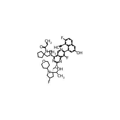 C#Cc1c(F)ccc2cc(O)cc(-c3ncc4c(NCC5(N(C)C(=O)C=C)CCCC5)nc(OC[C@]5([C@H](C)O)C[C@@H](F)CN5C5CCOCC5)nc4c3F)c12